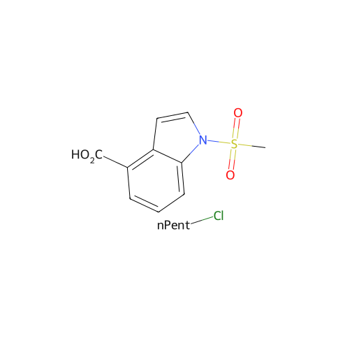 CCCCCCl.CS(=O)(=O)n1ccc2c(C(=O)O)cccc21